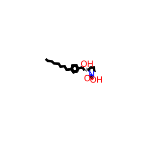 CCCCCCCCc1ccc(C(O)C[C@@H]2CCCN2C(=O)O)cc1